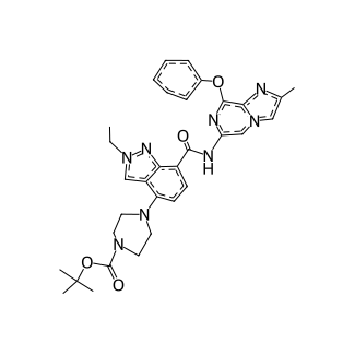 CCn1cc2c(N3CCN(C(=O)OC(C)(C)C)CC3)ccc(C(=O)Nc3cn4cc(C)nc4c(Oc4ccccc4)n3)c2n1